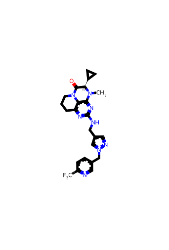 CN1c2nc(NCc3cnn(Cc4ccc(C(F)(F)F)nc4)c3)nc3c2N(CCC3)C(=O)[C@@H]1C1CC1